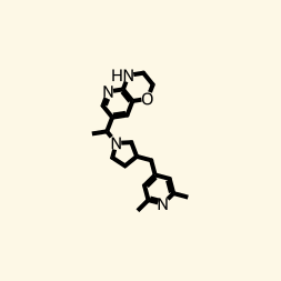 Cc1cc(CC2CCN(C(C)c3cnc4c(c3)OCCN4)C2)cc(C)n1